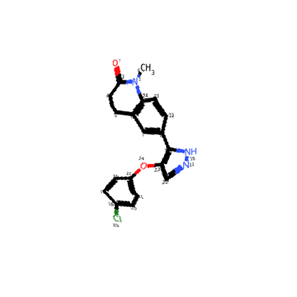 CN1C(=O)CCc2cc(-c3[nH]ncc3Oc3ccc(Cl)cc3)ccc21